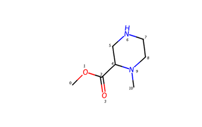 COC(=O)C1CNCCN1C